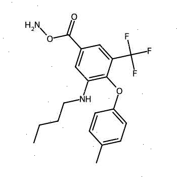 CCCCNc1cc(C(=O)ON)cc(C(F)(F)F)c1Oc1ccc(C)cc1